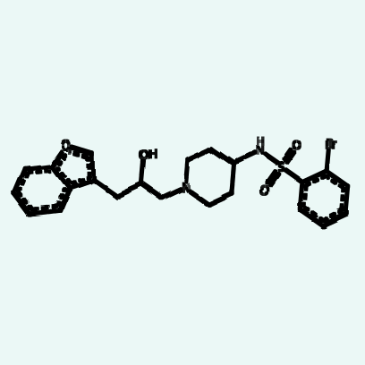 O=S(=O)(NC1CCN(CC(O)Cc2coc3ccccc23)CC1)c1ccccc1Br